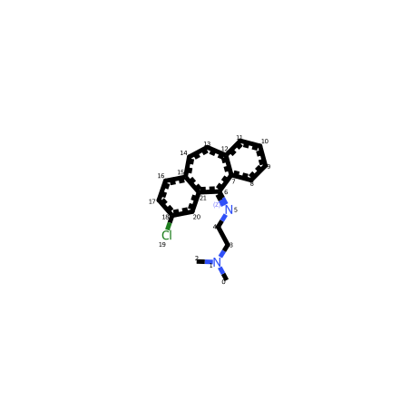 CN(C)CC/N=c1/c2ccccc2ccc2ccc(Cl)cc12